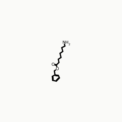 NCCCCCCCC(=O)OCc1ccccc1